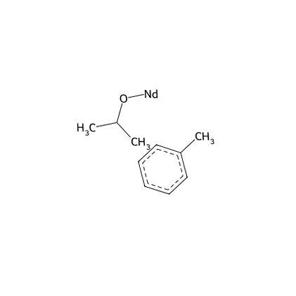 CC(C)[O][Nd].Cc1ccccc1